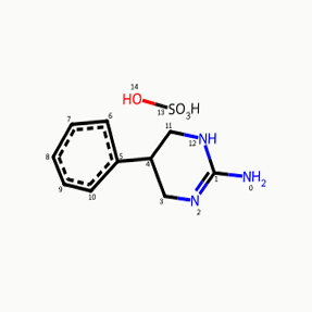 NC1=NCC(c2ccccc2)CN1.O=S(=O)(O)O